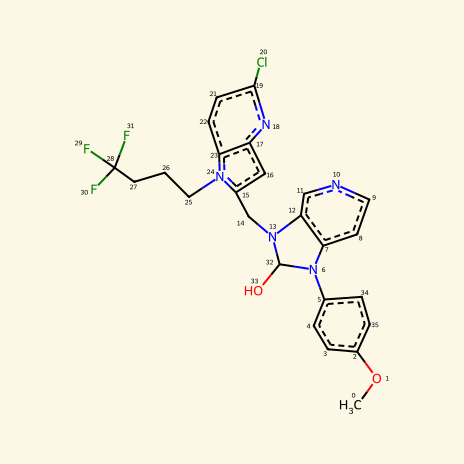 COc1ccc(N2c3ccncc3N(Cc3cc4nc(Cl)ccc4n3CCCC(F)(F)F)C2O)cc1